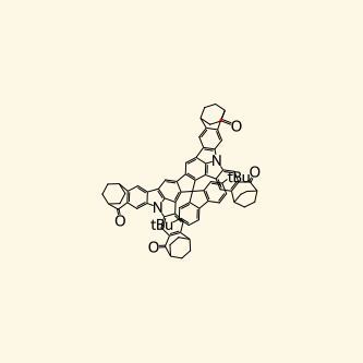 CC(C)(C)c1ccc2c(c1)C1(c3cc(C(C)(C)C)ccc3-2)c2c(cc3c4cc5c(cc4n4c6cc7c(cc6c2c34)C2CCC(CC2)C7=O)C(=O)C2CCC5CC2)-c2cc3c4cc5c(cc4n4c6cc7c(cc6c(c21)c34)C1CCC(CC1)C7=O)C(=O)C1CCC5CC1